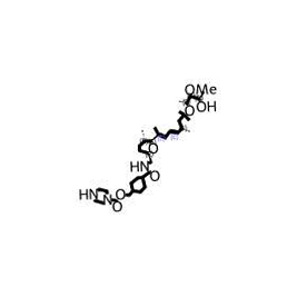 CO[C@@H]([C@@H](C)O)[C@@H](C)OC(C)(C)C[C@H](C)/C=C/C=C(\C)[C@H]1O[C@@H](CNC(=O)C2CCC(COC(=O)N3CCNCC3)CC2)CC[C@@H]1C